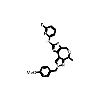 COc1ccc(Cn2cc3c(n2)C(C)OCc2sc(Nc4cccc(F)n4)nc2-3)cc1